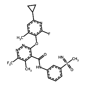 Cc1cc(C2CC2)nc(F)c1Oc1nnc(C(F)(F)F)c(C)c1C(=O)Nc1cccc(S(C)(=N)=O)c1